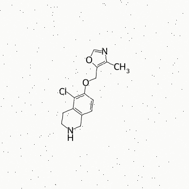 Cc1ncoc1COc1ccc2c(c1Cl)CCNC2